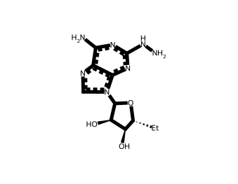 CC[C@H]1OC(n2cnc3c(N)nc(NN)nc32)[C@H](O)[C@@H]1O